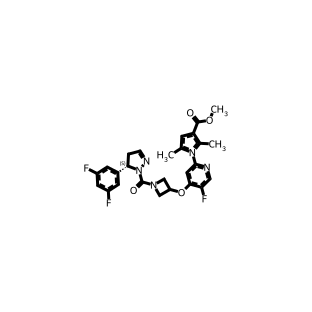 COC(=O)c1cc(C)n(-c2cc(OC3CN(C(=O)N4N=CC[C@H]4c4cc(F)cc(F)c4)C3)c(F)cn2)c1C